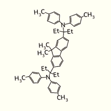 CCC(CC)(c1ccc2c(c1)C(C)(C)c1cc(C(CC)(CC)N(c3ccc(C)cc3)c3ccc(C)cc3)ccc1-2)N(c1ccc(C)cc1)c1ccc(C)cc1